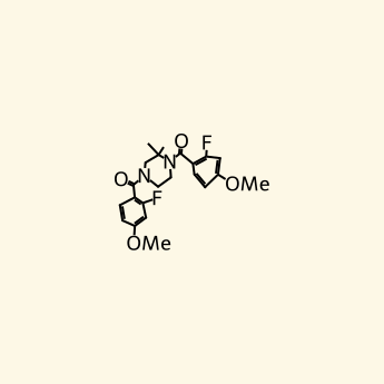 COc1ccc(C(=O)N2CCN(C(=O)c3ccc(OC)cc3F)C(C)(C)C2)c(F)c1